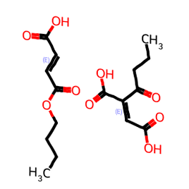 CCCC(=O)/C(=C\C(=O)O)C(=O)O.CCCCOC(=O)/C=C/C(=O)O